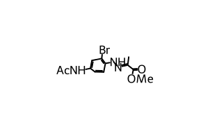 COC(=O)/C(C)=N/Nc1ccc(NC(C)=O)cc1Br